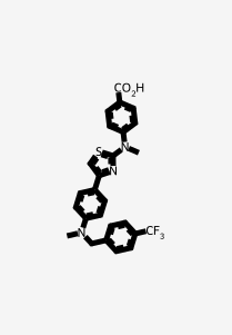 CN(Cc1ccc(C(F)(F)F)cc1)c1ccc(-c2csc(N(C)c3ccc(C(=O)O)cc3)n2)cc1